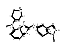 CN(c1cccc2nc(Nc3ccc4c(cnn4C)c3)nn12)C1CCOCC1